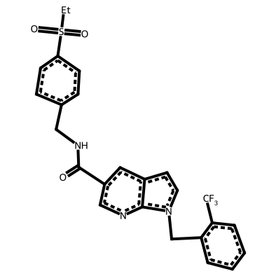 CCS(=O)(=O)c1ccc(CNC(=O)c2cnc3c(ccn3Cc3ccccc3C(F)(F)F)c2)cc1